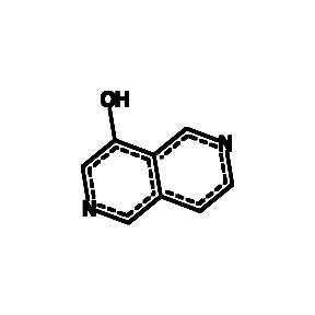 Oc1cncc2ccncc12